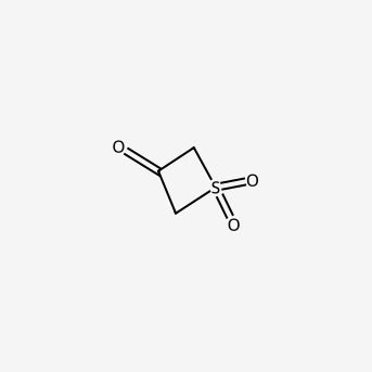 O=C1CS(=O)(=O)C1